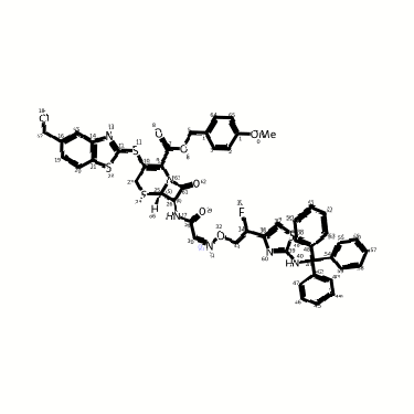 COc1ccc(COC(=O)C2=C(Sc3nc4cc(CCl)ccc4s3)CS[C@H]3[C@H](NC(=O)/C=N\OCC(F)c4csc(NC(c5ccccc5)(c5ccccc5)c5ccccc5)n4)C(=O)N23)cc1